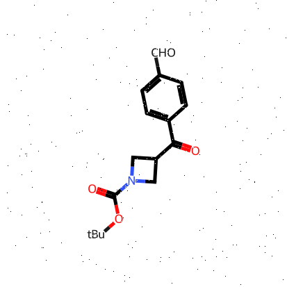 CC(C)(C)OC(=O)N1CC(C(=O)c2ccc(C=O)cc2)C1